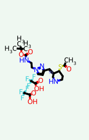 CC(=O)SC1CCNC/C1=C\c1ccn(CCNC(=O)OC(C)(C)C)n1.O=C(O)C(F)(F)F.O=C(O)C(F)(F)F